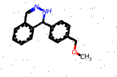 COCc1ccc(C2NN=Cc3ccccc32)cc1